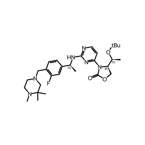 C[C@H](Nc1nccc(N2C(=O)OC[C@@H]2[C@H](C)OC(C)(C)C)n1)c1ccc(CN2CCN(C)C(C)(C)C2)c(F)c1